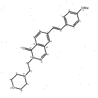 COc1ccc(C=Cc2ccc3c(=O)n(CCN4CCOCC4)ncc3c2)cc1